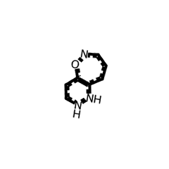 c1cnoc2cc[nH][nH]c=2c1